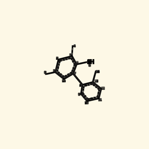 Cc1cc(C)c(S)c(-c2ccccc2C)c1